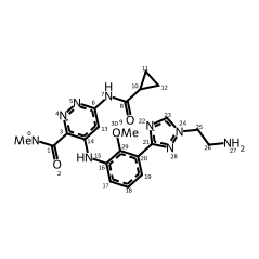 CNC(=O)c1nnc(NC(=O)C2CC2)cc1Nc1cccc(-c2ncn(CCN)n2)c1OC